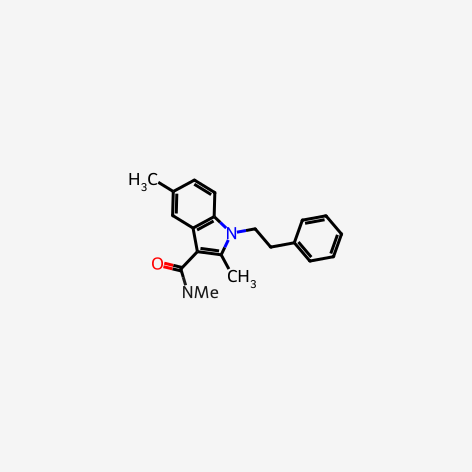 CNC(=O)c1c(C)n(CCc2ccccc2)c2ccc(C)cc12